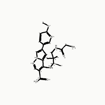 COc1ccc(-c2cc3c(N[C@H](C)C(C)(C)CNC(=O)CN)c(C(N)=O)cnn3c2)cn1